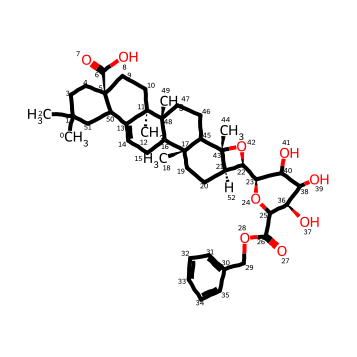 CC1(C)CC[C@]2(C(=O)O)CC[C@]3(C)C(=CCC4[C@@]5(C)CC[C@@H]6[C@H]([C@@H]7OC(C(=O)OCc8ccccc8)[C@H](O)C(O)C7O)O[C@@]6(C)C5CC[C@]43C)C2C1